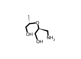 C[C@@H](CO)O[C@@H](CN)CO